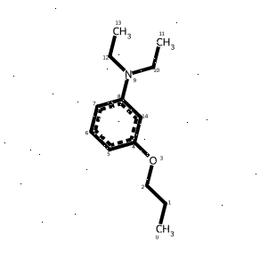 CCCOc1cccc(N(CC)CC)c1